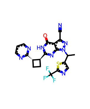 CC(c1cnc(C(F)(F)F)s1)n1nc(C#N)c2c(=O)[nH]c([C@H]3CC[C@@H]3c3ncccn3)nc21